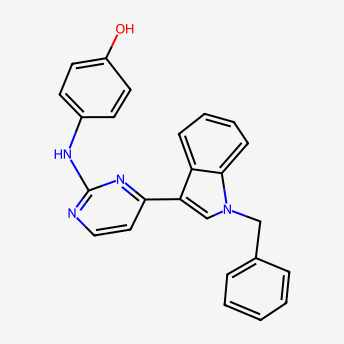 Oc1ccc(Nc2nccc(-c3cn(Cc4ccccc4)c4ccccc34)n2)cc1